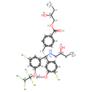 CC(C)Oc1cc([C@](Cc2ccc(C(=O)OC[C@@H](O)CC(F)(F)F)cc2)(NC[C@@H](O)CC(F)(F)F)c2cc(F)cc(OC(F)(F)C(F)F)c2)ccc1F